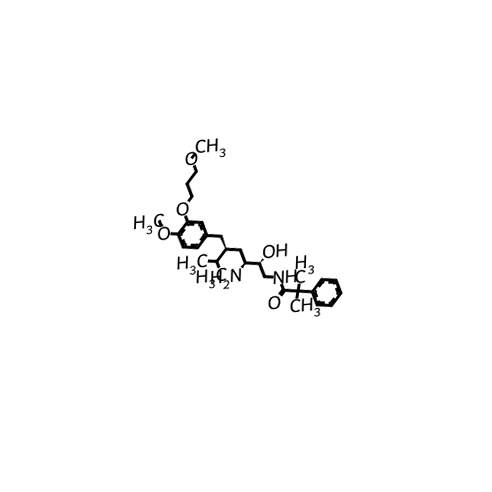 COCCCOc1cc(C[C@@H](C[C@H](N)[C@H](O)CNC(=O)C(C)(C)c2ccccc2)C(C)C)ccc1OC